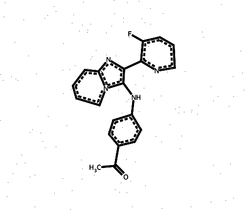 CC(=O)c1ccc(Nc2c(-c3ncccc3F)nc3ccccn23)cc1